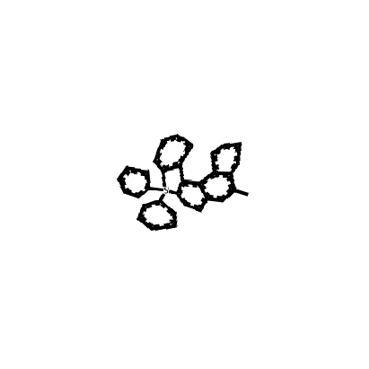 Cc1cc2ccc3c(c2c2ccccc12)-c1ccccc1[Si]3(c1ccccc1)c1ccccc1